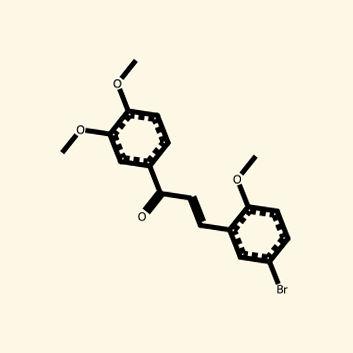 COc1ccc(Br)cc1C=CC(=O)c1ccc(OC)c(OC)c1